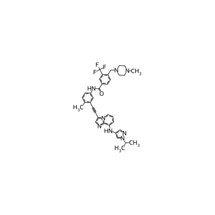 Cc1ccc(NC(=O)c2ccc(CN3CCN(C)CC3)c(C(F)(F)F)c2)cc1C#Cc1cnc2c(Nc3cnn(C(C)C)c3)cccn12